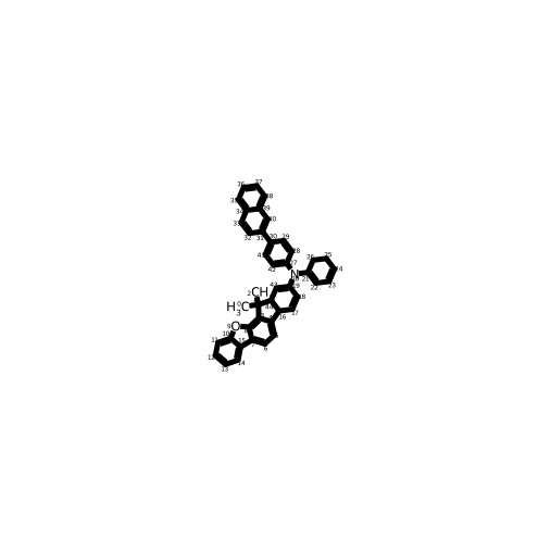 CC1(C)c2c(ccc3c2oc2ccccc23)C2C=CC(N(C3=CC=CCC3)c3ccc(-c4ccc5ccccc5c4)cc3)=CC21